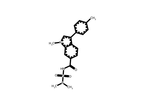 Cc1ccc(-c2cn(C)c3cc(C(=O)NS(=O)(=O)N(C)C)ccc23)cc1